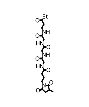 CCC(=O)CCNC(=O)CNC(=O)CNC(=O)CNC(=O)CCCN1C(=O)CC(C)C1=O